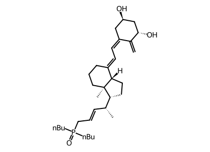 C=C1/C(=C\C=C2/CCC[C@]3(C)[C@@H]([C@H](C)/C=C/CP(=O)(CCCC)CCCC)CC[C@@H]23)C[C@@H](O)C[C@@H]1O